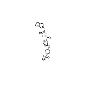 CS(=O)(=O)N1CCC(Oc2cc(C(=O)NC[C@H](O)CN3CCc4ccccc4C3)ncn2)CC1